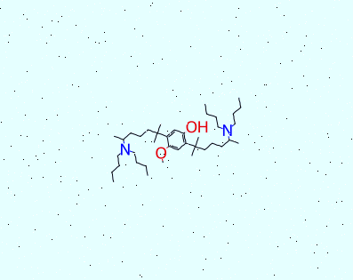 CCCCN(CCCC)C(C)CCCC(C)(C)c1cc(OC)c(C(C)(C)CCCC(C)N(CCCC)CCCC)cc1O